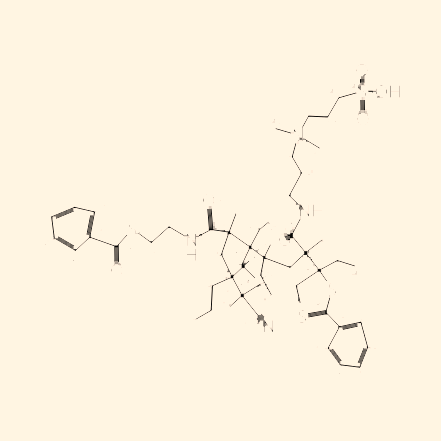 CCCC(C)(CC(C)(C(=O)NCCSC(=O)c1ccccc1)C(CC)(CC)C(C)(CC)CC(C)(C(=O)NCCC[N+](C)(C)CCCS(=O)(=O)O)C(CC)(CC)SC(=S)c1ccccc1)C(C)(C)C#N